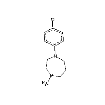 CN1CCCN(c2ccc(Cl)cc2)CC1